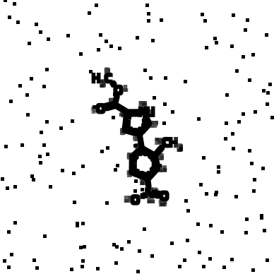 COC(=O)c1cc(-c2ccc([N+](=O)[O-])cc2C)c[nH]1